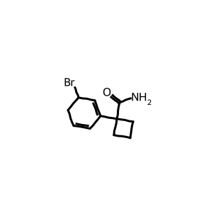 NC(=O)C1(C2=CC(Br)CC=C2)CCC1